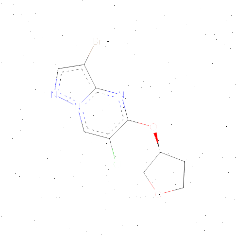 Clc1cn2ncc(Br)c2nc1O[C@H]1CCOC1